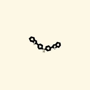 c1ccc2sc(-c3ccc(Nc4ccc(-c5cc6ccccc6s5)cc4)cc3)cc2c1